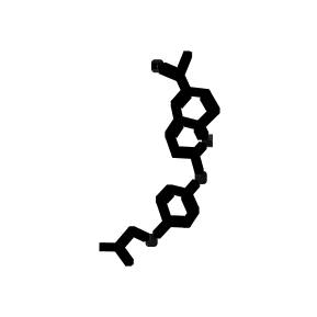 CC(=O)c1ccc2nc(Oc3ccc(OCC(C)C)cc3)ccc2c1